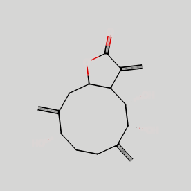 C=C1C(=O)OC2CC(=C)[C@@H](O)CCC(=C)[C@@H](O)[C@@H](O)C12